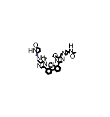 COc1nc(-c2cccc(-c3cccc(-c4cnc(CN5CC(NC(C)=O)C5)c(OC)n4)c3Cl)c2Cl)cnc1CN/C=C1\CCC(=O)N1